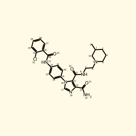 CC1CCCN(CCNC(=O)c2c(C(N)=O)ncn2-c2ccc(NC(=O)c3ccccc3Cl)cc2)C1